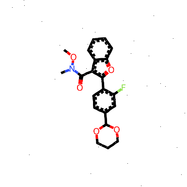 CON(C)C(=O)c1c(-c2ccc(C3OCCCO3)cc2F)oc2ccccc12